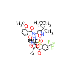 CCC(C)(CC)c1cc(NC(=O)c2c(OC)cccc2OC)on1.CS(=O)(=O)c1cc(C(F)(F)F)ccc1C(=O)c1cnoc1C1CC1